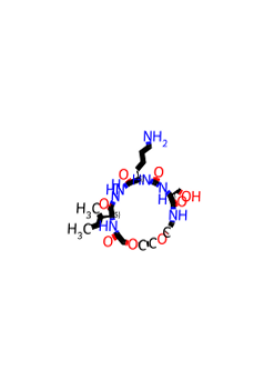 CCC(C)[C@@H]1NC(=O)COCCOCCNC(=O)[C@H](CO)NC(=O)N[C@@H](CCCCN)C(=O)NNC1=O